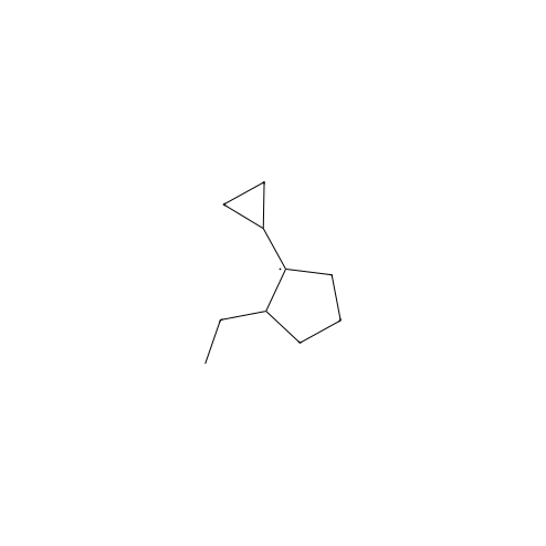 CCC1CCC[C]1C1CC1